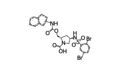 O=C(Nc1ccc2ccccc2c1)OC[C@H]1C[C@@H](NS(=O)(=O)c2cc(Br)ccc2Br)CN1C(=O)O